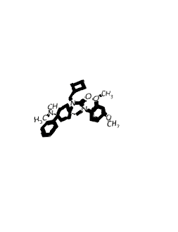 COc1ccc(N2C[C@]3(CC[C@@](c4ccccc4)(N(C)C)CC3)N(CC3CCC3)C2=O)c(OC)c1